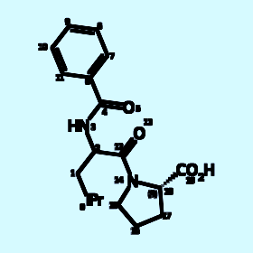 CC(C)CC(NC(=O)c1ccccc1)C(=O)N1CCC[C@H]1C(=O)O